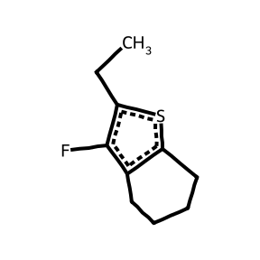 CCc1sc2c(c1F)CCCC2